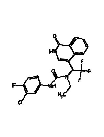 CCN(C(=O)Nc1ccc(F)c(Cl)c1)C(c1c[nH]c(=O)c2ccccc12)C(F)(F)F